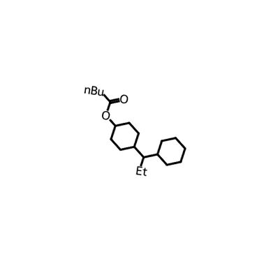 CCCCC(=O)OC1CCC(C(CC)C2CCCCC2)CC1